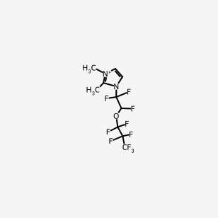 Cc1n(C(F)(F)C(F)OC(F)(F)C(F)(F)C(F)(F)F)cc[n+]1C